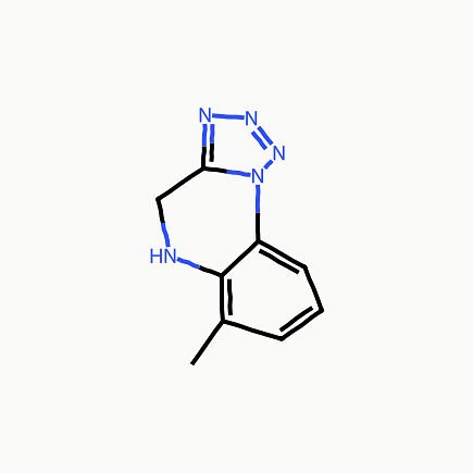 Cc1cccc2c1NCc1nnnn1-2